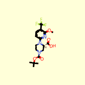 COc1nc(N2CCN(C(=O)OC(C)(C)C)C[C@H]2C(=O)O)ccc1C(F)(F)F